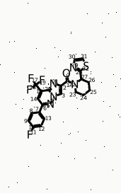 O=C(c1cn2nc(-c3ccc(F)cc3)cc(C(F)(F)F)c2n1)N1CCCCC1c1nccs1